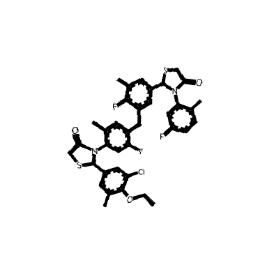 CCOc1c(C)cc(C2SCC(=O)N2c2cc(F)c(Cc3cc(C4SCC(=O)N4c4cc(F)ccc4C)cc(C)c3F)cc2C)cc1Cl